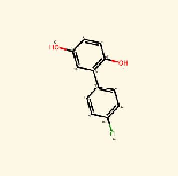 Oc1ccc(O)c(-c2ccc(Cl)cc2)c1